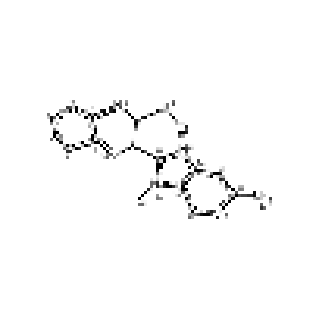 CCSC1N=c2ccccc2=NC1c1nc2cc(C(F)(F)F)ncc2n1C